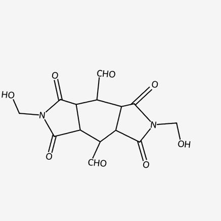 O=CC1C2C(=O)N(CO)C(=O)C2C(C=O)C2C(=O)N(CO)C(=O)C12